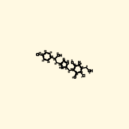 O=c1[nH]c(CO)c(Cl)c(=O)n1Cc1nc(C[C@H](O)c2ccc(Cl)cc2)no1